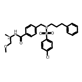 COC[C@@H](C)NC(=O)c1ccc(CN(CCCc2ccccc2)S(=O)(=O)c2ccc(Cl)cc2)cc1